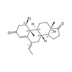 C/C=C1\C[C@@H]2[C@H](CC[C@]3(C)C(=O)CC[C@@H]23)[C@]2(C)C1=CC(=O)C[C@H]2CC